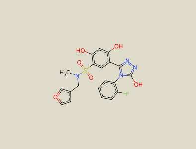 CN(Cc1ccoc1)S(=O)(=O)c1cc(-c2nnc(O)n2-c2ccccc2F)c(O)cc1O